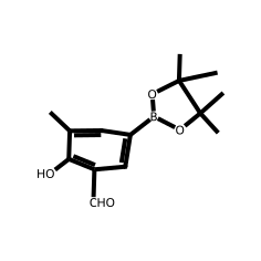 Cc1cc(B2OC(C)(C)C(C)(C)O2)cc(C=O)c1O